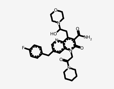 NC(=O)c1c(CC(O)N2CCOCC2)c2ncc(Cc3ccc(F)cc3)cc2n(CC(=O)N2CCCCC2)c1=O